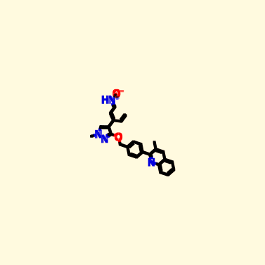 C=C/C(=C\C=[NH+]\[O-])c1cn(C)nc1OCc1ccc(-c2nc3ccccc3cc2C)cc1